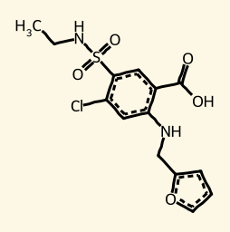 CCNS(=O)(=O)c1cc(C(=O)O)c(NCc2ccco2)cc1Cl